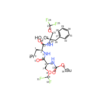 CC(C)C[C@H](NC(=O)[C@H](COC(F)F)NC(=O)OC(C)(C)C)C(=O)N[C@](COC(F)F)(Cc1ccccc1)C(=O)O